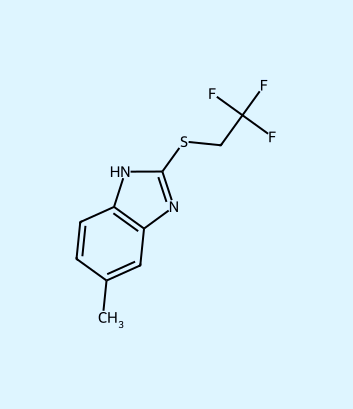 Cc1ccc2[nH]c(SCC(F)(F)F)nc2c1